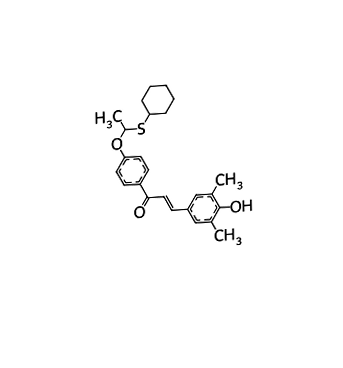 Cc1cc(C=CC(=O)c2ccc(OC(C)SC3CCCCC3)cc2)cc(C)c1O